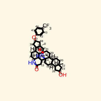 C[C@]12CC[C@@H]3[C@@H](CCC4NC(=O)CC(C56CC[C@@H]7[C@@H](CC[C@]8(C)CC(O)C[C@@H]78)[C@@]5(C)CCC(=O)N6)[C@@]43C)[C@@H]1CC(Oc1ccc(C(F)(F)F)cc1)C2